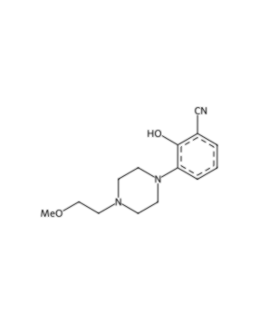 COCCN1CCN(c2cccc(C#N)c2O)CC1